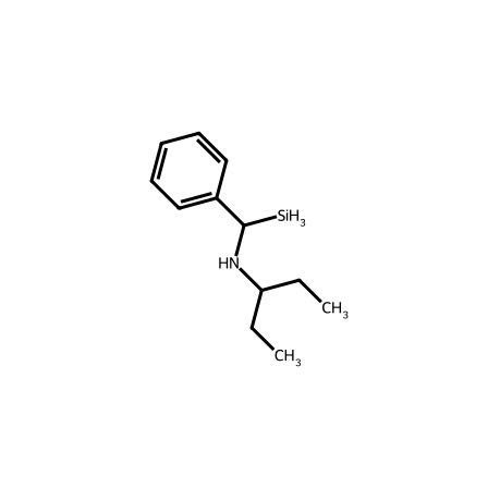 CCC(CC)NC([SiH3])c1ccccc1